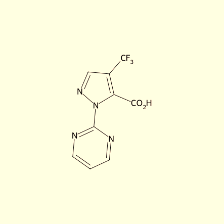 O=C(O)c1c(C(F)(F)F)cnn1-c1ncccn1